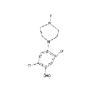 CN1CCN(c2cc(Cl)c(C=O)c[n+]2[O-])CC1